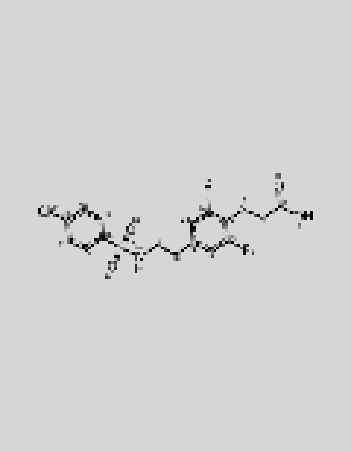 O=C(O)CSc1c(F)cc(CCNS(=O)(=O)c2ccc(Cl)cc2)cc1F